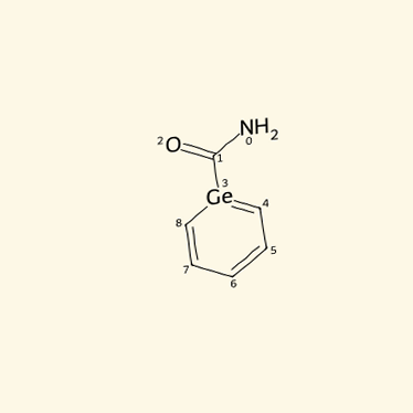 N[C](=O)[Ge]1=[CH]C=CC=[CH]1